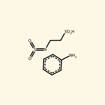 Nc1ccccc1.O=S(=O)=NCCS(=O)(=O)O